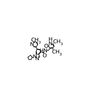 Cc1ccc(-c2cc(C(=O)NCc3c(C)cc(C)[nH]c3=O)c3cnn(C4CCCC4)c3c2)cn1